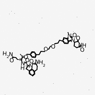 C[C@@H](OCc1ccc(CCCOCCOCCCc2ccc3c(c2)n(C)c(=O)n3C2CCC(=O)NC2=O)cc1)[C@H](CCC(N)=O)NC(=O)[C@@H]1Cc2cccc3c2N1C(=O)[C@@H](N)CC3